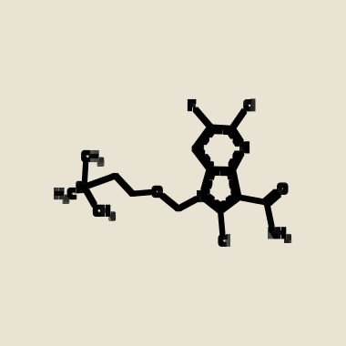 C[Si](C)(C)CCOCn1c(Cl)c(C(N)=O)c2nc(Cl)c(F)cc21